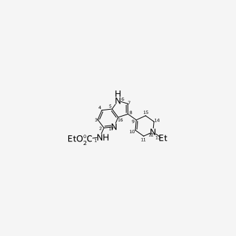 CCOC(=O)Nc1ccc2[nH]cc(C3=CCN(CC)CC3)c2n1